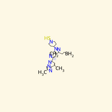 BCCc1nn(C2CCN(S)CC2)cc1/C=C(\N=C)c1cc(C)c2nc(C)cn2n1